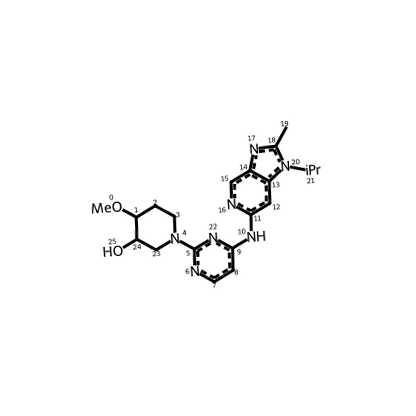 COC1CCN(c2nccc(Nc3cc4c(cn3)nc(C)n4C(C)C)n2)CC1O